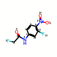 O=C(CF)Nc1ccc([N+](=O)[O-])c(F)c1